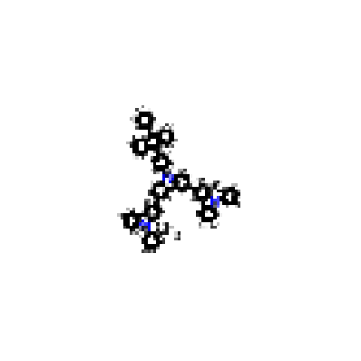 FC(F)(F)c1ccccc1-n1c2ccccc2c2cc(-c3ccc4c(c3)c3cc(-c5ccc6c(c5)c5ccccc5n6-c5ccccc5C(F)(F)F)ccc3n4-c3ccc(-c4c5ccccc5c(-c5ccccc5)c5ccccc45)cc3)ccc21